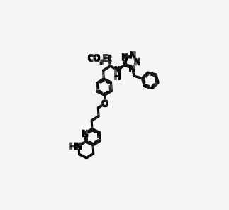 CCOC(=O)[C@H](Cc1ccc(OCCCc2ccc3c(n2)NCCC3)cc1)Nc1nnnn1Cc1ccccc1